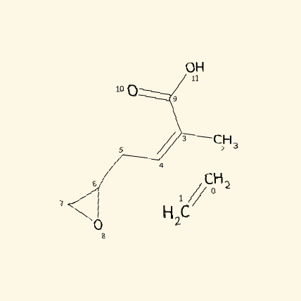 C=C.CC(=CCC1CO1)C(=O)O